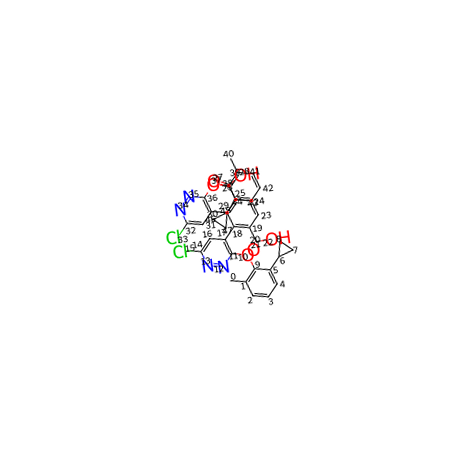 Cc1cccc(C2CC2)c1Oc1nnc(Cl)cc1-c1c(C(=O)O)ccc(C(=O)O)c1-c1cc(Cl)nnc1Oc1c(C)cccc1C1CC1